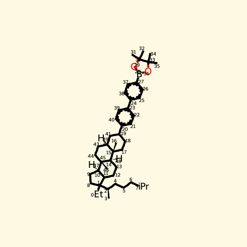 CCC1([C@H](C)CCCC(C)C)CC[C@@H]2C1CC[C@@H]1[C@@]3(C)CCC(c4ccc(-c5ccc(B6OC(C)(C)C(C)(C)O6)cc5)cc4)C[C@@H]3CC[C@]12C